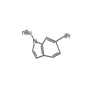 CCCCn1ccc2ccc(C(C)C)cc21